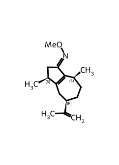 C=C(C)[C@@H]1CC[C@H](C)C2=C(C1)[C@@H](C)CC2=NOC